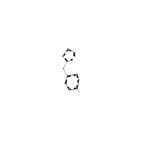 Fc1ccc([CH]c2cccs2)cc1